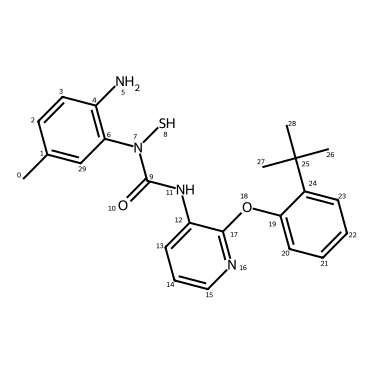 Cc1ccc(N)c(N(S)C(=O)Nc2cccnc2Oc2ccccc2C(C)(C)C)c1